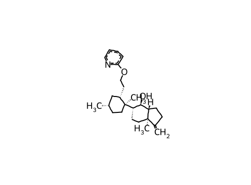 C=C1CC[C@H]2[C@H](O)[C@@H]([C@@]3(C)CC[C@H](C)C[C@@H]3CCOc3ccccn3)CC[C@]12C